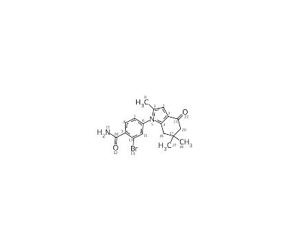 Cc1cc2c(n1-c1ccc(C(N)=O)c(Br)c1)CC(C)(C)CC2=O